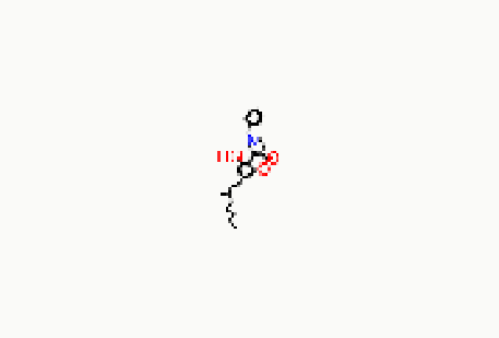 CCCCCC(C)CCc1cc(O)c2c3c(c(=O)oc2c1)CCN(Cc1ccccc1)C3